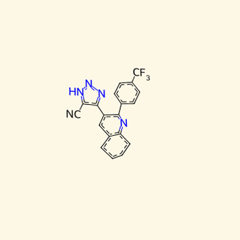 N#Cc1[nH]nnc1-c1cc2ccccc2nc1-c1ccc(C(F)(F)F)cc1